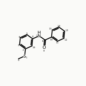 CSc1cccc(NC(=O)c2ccccc2)c1